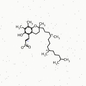 Cc1c(C)c2c(c(/C=C/[N+](=O)[O-])c1O)CCC(C)(CCC[C@H](C)CCC[C@H](C)CCCC(C)C)O2